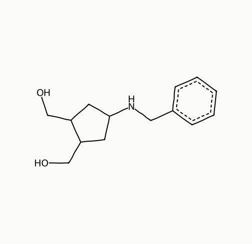 OCC1CC(NCc2ccccc2)CC1CO